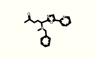 CC(=O)CCC(c1ncc(-c2ccccn2)o1)N(C)Cc1ccccc1